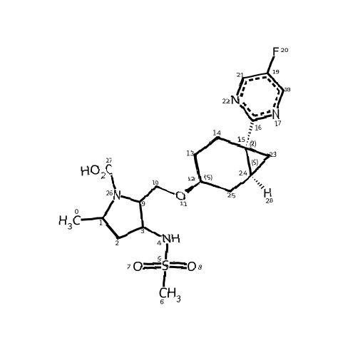 CC1CC(NS(C)(=O)=O)C(CO[C@H]2CC[C@@]3(c4ncc(F)cn4)C[C@H]3C2)N1C(=O)O